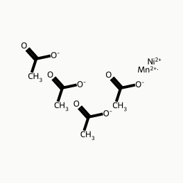 CC(=O)[O-].CC(=O)[O-].CC(=O)[O-].CC(=O)[O-].[Mn+2].[Ni+2]